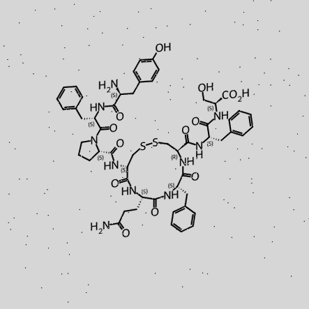 NC(=O)CC[C@@H]1NC(=O)[C@H](NC(=O)[C@@H]2CCCN2C(=O)[C@H](Cc2ccccc2)NC(=O)[C@@H](N)Cc2ccc(O)cc2)CSSC[C@@H](C(=O)N[C@@H](Cc2ccccc2)C(=O)N[C@@H](CO)C(=O)O)NC(=O)[C@H](Cc2ccccc2)NC1=O